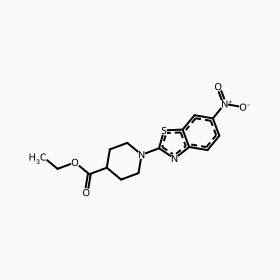 CCOC(=O)C1CCN(c2nc3ccc([N+](=O)[O-])cc3s2)CC1